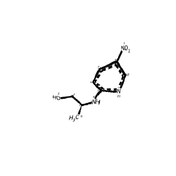 C[C@@H](CO)Nc1ccc([N+](=O)[O-])cn1